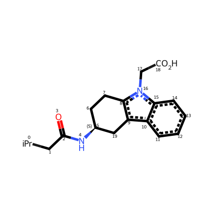 CC(C)CC(=O)N[C@H]1CCc2c(c3ccccc3n2CC(=O)O)C1